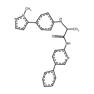 CC(Nc1ccc(-c2ccnn2C)cc1)C(=O)Nc1ccc(-c2ccccc2)cn1